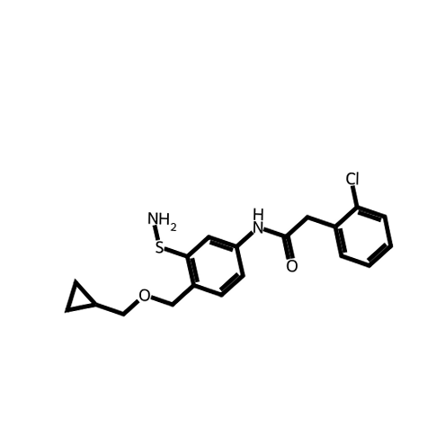 NSc1cc(NC(=O)Cc2ccccc2Cl)ccc1COCC1CC1